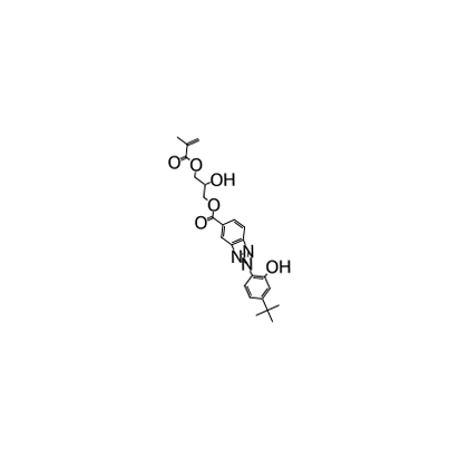 C=C(C)C(=O)OCC(O)COC(=O)c1ccc2c(c1)n1n(-c3ccc(C(C)(C)C)cc3O)n21